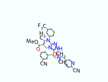 COC(=O)C1=C(C)N(c2cccc(C(F)(F)F)c2)c2n[nH]c(=O)n2[C@@H]1c1ccc(C#N)cc1CC[N+](C)(C)Cc1ccc(C#N)nc1